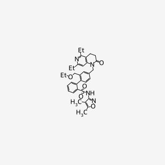 CCOCc1cc(CN2C(=O)CCc3c2cc(CC)nc3CC)ccc1-c1ccccc1S(=O)(=O)Nc1noc(C)c1C